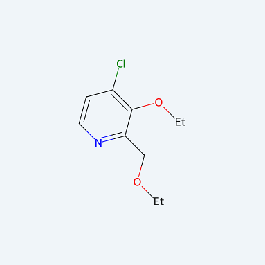 CCOCc1nccc(Cl)c1OCC